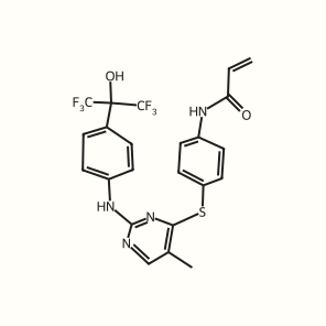 C=CC(=O)Nc1ccc(Sc2nc(Nc3ccc(C(O)(C(F)(F)F)C(F)(F)F)cc3)ncc2C)cc1